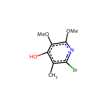 COc1nc(Br)c(C)c(O)c1OC